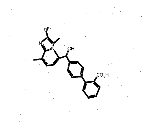 CCCc1nc2c(C)ccc(C(O)c3ccc(-c4ccccc4C(=O)O)cc3)n2c1C